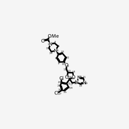 COC(=O)N1CCN(c2ccc(OCC3COC(Cn4cncn4)(c4ccc(Cl)cc4Cl)O3)cc2)CC1